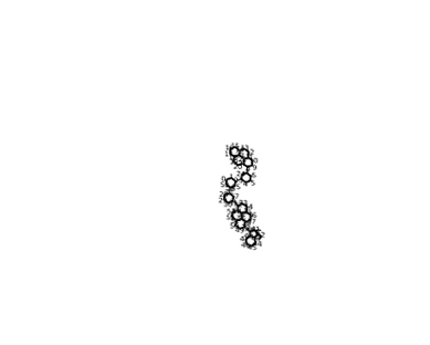 c1cc(-c2cccc(-c3ccc4ccc5cccc6ccc3c4c56)c2)cc(-c2cccc(-c3ccc4ccc5c(-c6csc7ccccc67)ccc6ccc3c4c65)c2)c1